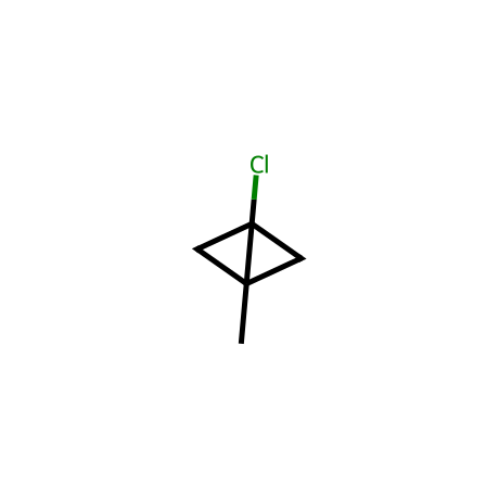 CC12CC1(Cl)C2